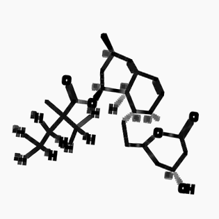 [2H]C([2H])([2H])C([2H])([2H])C(C)(C(=O)O[C@H]1C[C@@H](C)C=C2C=C[C@H](C)[C@H](CCC3C[C@@H](O)CC(=O)O3)[C@H]21)C([2H])([2H])[2H]